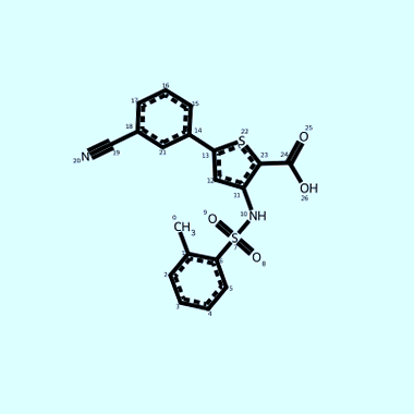 Cc1ccccc1S(=O)(=O)Nc1cc(-c2cccc(C#N)c2)sc1C(=O)O